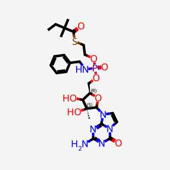 CCC(C)(C)C(=O)SCCOP(=O)(NCc1ccccc1)OC[C@H]1OC(n2ccn3c(=O)nc(N)nc23)[C@@](C)(O)C1O